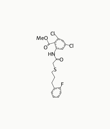 COC(=O)c1c(Cl)cc(Cl)cc1NC(=O)CSCCCc1ccccc1F